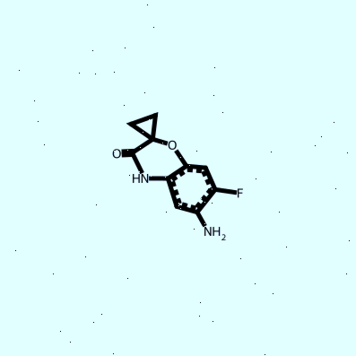 Nc1cc2c(cc1F)OC1(CC1)C(=O)N2